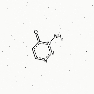 Nn1nnccc1=O